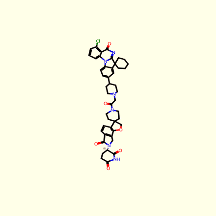 O=C1CC[C@H](N2Cc3c(ccc4c3OCC43CCN(C(=O)CN4CCC(c5ccc6c(c5)C5(CCCCC5)c5nc(=O)c7c(Cl)cccc7n5-6)CC4)CC3)C2=O)C(=O)N1